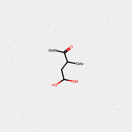 CNC(=O)C(CC(O)O)SC